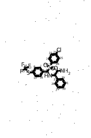 NC(=O)C(N[C@@H](c1ccc(SC(F)(F)F)cc1)S(=O)(=O)c1ccc(Cl)cc1)c1ccccc1